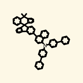 CC1(C)c2ccccc2C2(c3ccccc3-c3cc(-c4ccc(N(c5ccc(-c6ccccc6)cc5)c5ccc(-c6ccccc6)cc5)c5ccccc45)ccc32)c2ccccc21